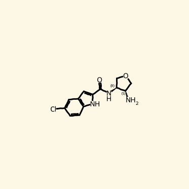 N[C@@H]1COC[C@@H]1NC(=O)c1cc2cc(Cl)ccc2[nH]1